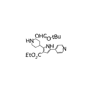 CC(C)(C)OC=O.CCOC(=O)c1cc(-c2ccncc2)[nH]c1C1CCNCC1